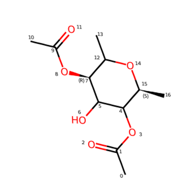 CC(=O)OC1C(O)[C@@H](OC(C)=O)C(C)O[C@H]1C